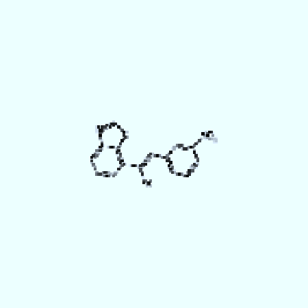 CC(=O)C(=Cc1cccc([N+](=O)[O-])c1)c1cccc2ncoc12